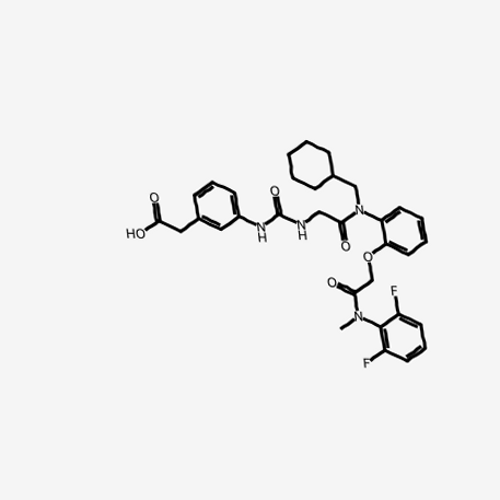 CN(C(=O)COc1ccccc1N(CC1CCCCC1)C(=O)CNC(=O)Nc1cccc(CC(=O)O)c1)c1c(F)cccc1F